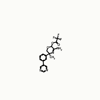 CC1(c2cccc(-c3cncnc3)c2)COC(OC(=O)C(F)(F)F)C(N)=N1